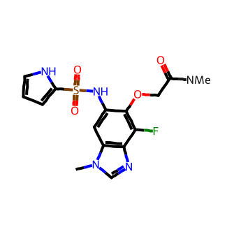 CNC(=O)COc1c(NS(=O)(=O)c2ccc[nH]2)cc2c(ncn2C)c1F